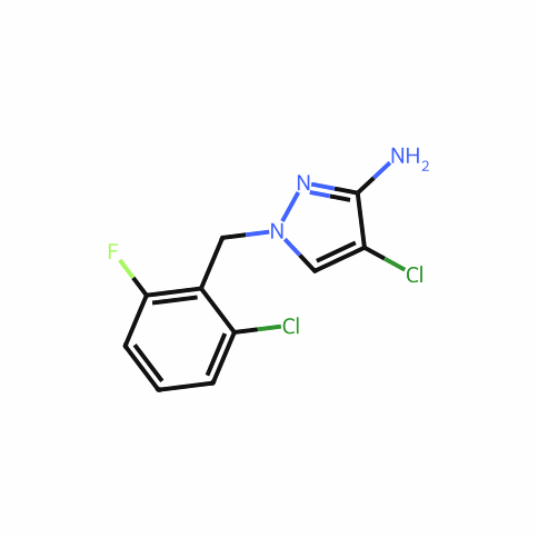 Nc1nn(Cc2c(F)cccc2Cl)cc1Cl